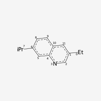 CCc1cnc2cc(C(C)C)ccc2c1